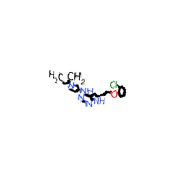 C=CC(=C)N1CC[C@@H](Nc2ncnc3[nH]c(C#CCOc4ccccc4Cl)cc23)C1